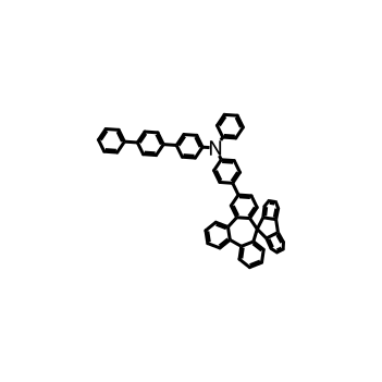 c1ccc(-c2ccc(-c3ccc(N(c4ccccc4)c4ccc(-c5ccc6c(c5)-c5ccccc5-c5ccccc5C65c6ccccc6-c6ccccc65)cc4)cc3)cc2)cc1